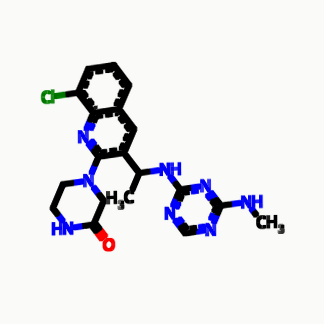 CNc1ncnc(NC(C)c2cc3cccc(Cl)c3nc2N2CCNC(=O)C2)n1